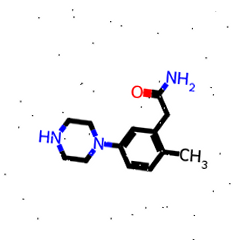 Cc1ccc(N2CCNCC2)cc1CC(N)=O